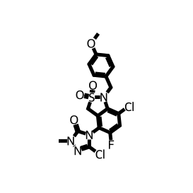 COc1ccc(CN2c3c(Cl)cc(F)c(-n4c(Cl)nn(C)c4=O)c3CS2(=O)=O)cc1